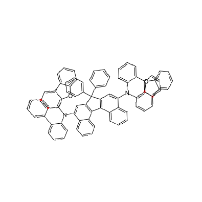 c1ccc(-c2ccccc2N(c2cc3c(c4ccccc24)-c2c(cc(N(c4ccccc4-c4ccccc4)c4cccc5c4oc4ccccc45)c4ccccc24)C3(c2ccccc2)c2ccccc2)c2cccc3c2oc2ccccc23)cc1